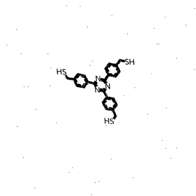 SCc1ccc(-c2nc(-c3ccc(CS)cc3)nc(-c3ccc(CS)cc3)n2)cc1